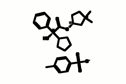 C[N+]1(C)CC[C@@H](OC(=O)[C@](O)(c2ccccc2)C2CCCC2)C1.Cc1ccc(S(=O)(=O)[O-])cc1